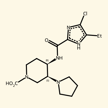 CCc1[nH]c(C(=O)N[C@@H]2CCN(C(=O)O)C[C@@H]2N2CCCC2)nc1Cl